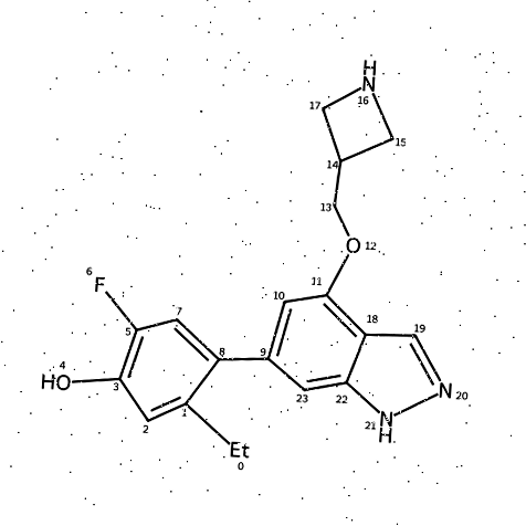 CCc1cc(O)c(F)cc1-c1cc(OCC2CNC2)c2cn[nH]c2c1